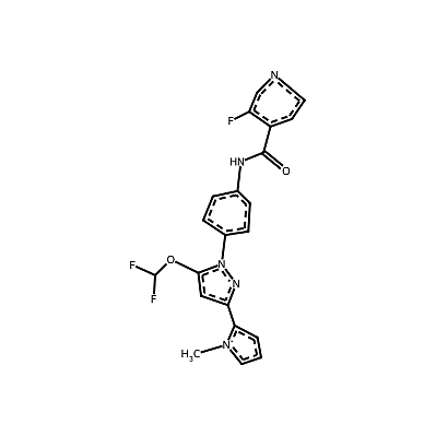 Cn1cccc1-c1cc(OC(F)F)n(-c2ccc(NC(=O)c3ccncc3F)cc2)n1